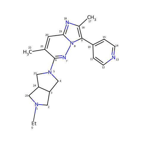 CCN1CC2CN(c3nn4c(-c5ccncc5)c(C)nc4cc3C)CC2C1